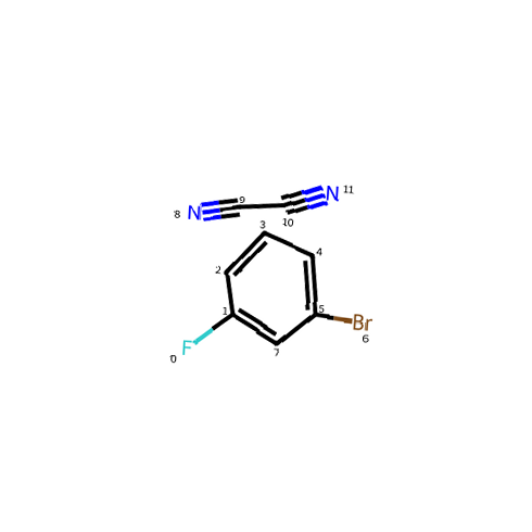 Fc1cccc(Br)c1.N#CC#N